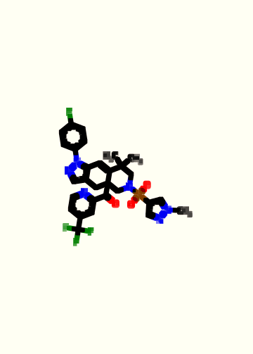 Cn1cc(S(=O)(=O)N2CC(C)(C)C3=Cc4c(cnn4-c4ccc(F)cc4)CC3(C(=O)c3cc(C(F)(F)F)ccn3)C2)cn1